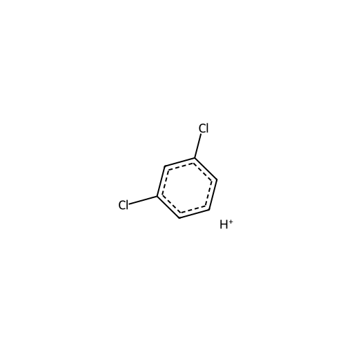 Clc1cccc(Cl)c1.[H+]